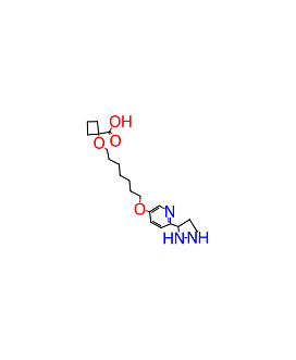 O=C(O)C1(OCCCCCCCOc2ccc(C3CCNN3)nc2)CCC1